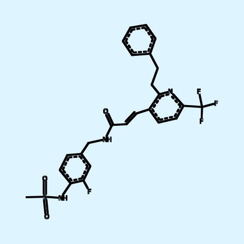 CS(=O)(=O)Nc1ccc(CNC(=O)C=Cc2ccc(C(F)(F)F)nc2CCc2ccccc2)cc1F